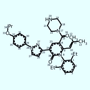 CCc1cccc(CC)c1-n1c(C=C(C)C)c(C(=O)N2CCNCC2)cc(-c2ccn(-c3ccc(OC(C)C)cc3)n2)c1=O